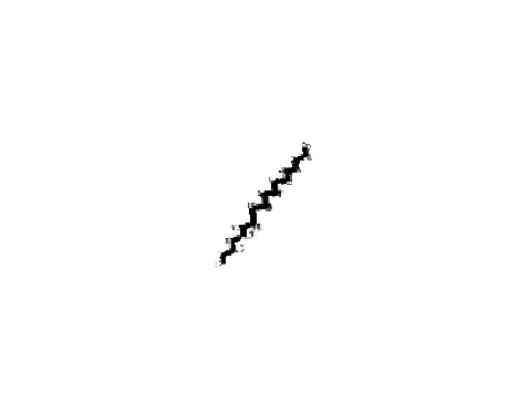 [CH2]C[CH]CCCCCCCCCCCCCCC